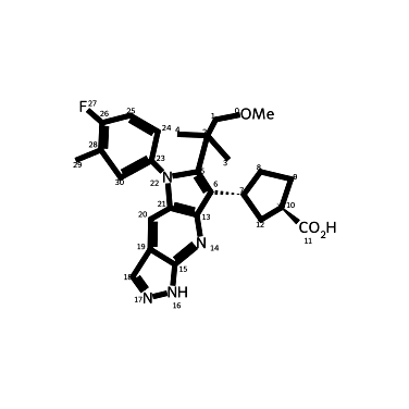 COCC(C)(C)c1c([C@@H]2CC[C@@H](C(=O)O)C2)c2nc3[nH]ncc3cc2n1-c1ccc(F)c(C)c1